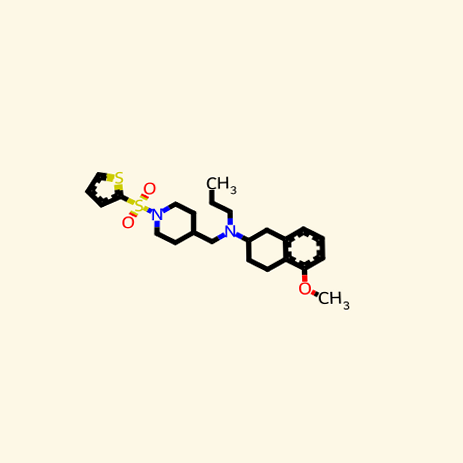 CCCN(CC1CCN(S(=O)(=O)c2cccs2)CC1)C1CCc2c(cccc2OC)C1